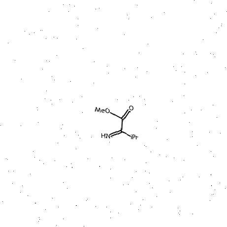 COC(=O)C(=N)C(C)C